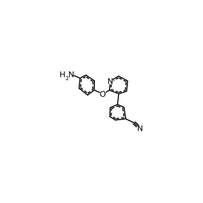 N#Cc1cccc(-c2cccnc2Oc2ccc(N)cc2)c1